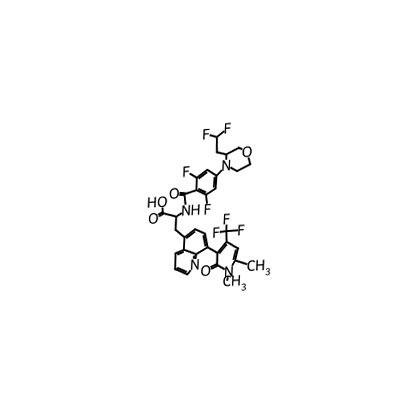 Cc1cc(C(F)(F)F)c(-c2ccc(CC(NC(=O)c3c(F)cc(N4CCOCC4CC(F)F)cc3F)C(=O)O)c3cccnc23)c(=O)n1C